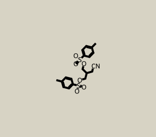 Cc1ccc(S(=O)(=O)OCC(CC#N)COS(=O)(=O)c2ccc(C)cc2)cc1